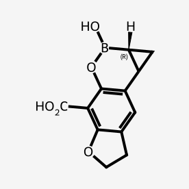 O=C(O)c1c2c(cc3c1OB(O)[C@@H]1CC31)CCO2